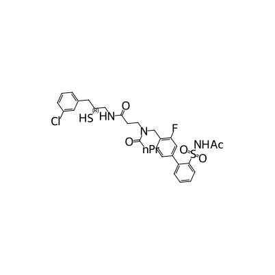 CCCC(=O)N(CCC(=O)NC[C@H](S)Cc1cccc(Cl)c1)Cc1ccc(-c2ccccc2S(=O)(=O)NC(C)=O)cc1F